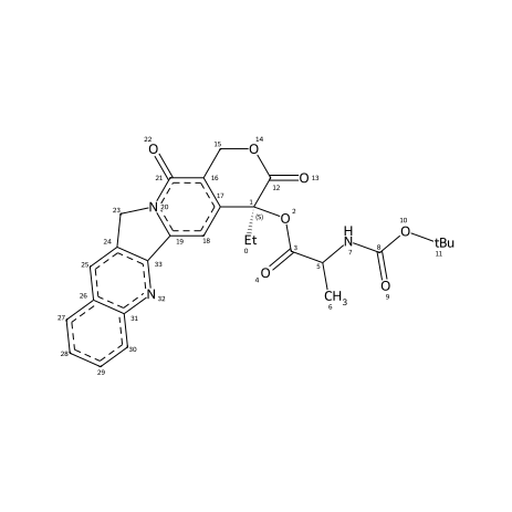 CC[C@@]1(OC(=O)C(C)NC(=O)OC(C)(C)C)C(=O)OCc2c1cc1n(c2=O)Cc2cc3ccccc3nc2-1